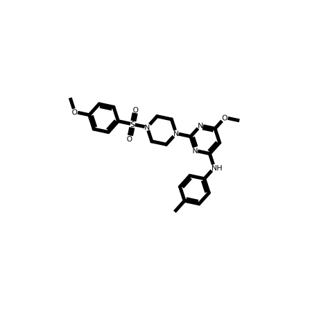 COc1ccc(S(=O)(=O)N2CCN(c3nc(Nc4ccc(C)cc4)cc(OC)n3)CC2)cc1